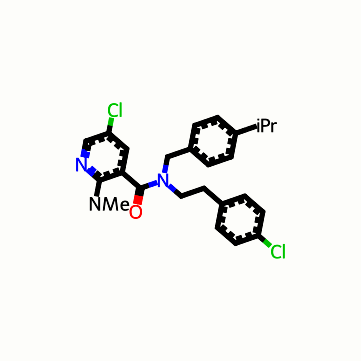 CNc1ncc(Cl)cc1C(=O)N(CCc1ccc(Cl)cc1)Cc1ccc(C(C)C)cc1